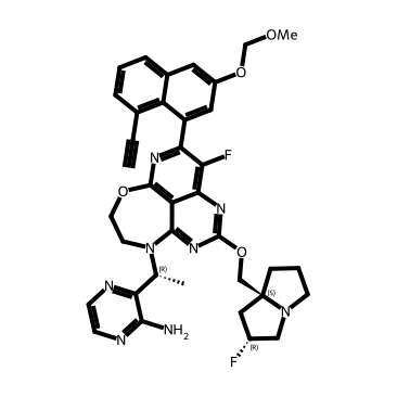 C#Cc1cccc2cc(OCOC)cc(-c3nc4c5c(nc(OC[C@@]67CCCN6C[C@H](F)C7)nc5c3F)N([C@H](C)c3nccnc3N)CCO4)c12